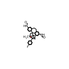 C[C@H](N)CC1(c2nnc(-c3ccc(F)cc3)o2)c2ccc(NC=O)cc2CCc2cc(NC=O)ccc21